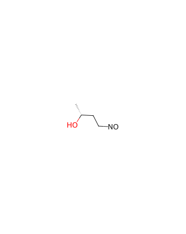 C[C@@H](O)CCN=O